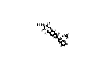 CCC1CN(C(=O)c2cc3nc(-c4cc5cccnc5n4CC4CC4)n(C)c3cc2F)C(C)C1N